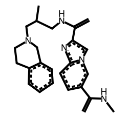 C=C(NC)c1ccc2nc(C(=C)NCC(C)CN3CCc4ccccc4C3)cn2c1